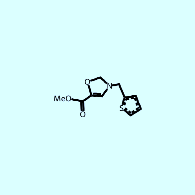 COC(=O)C1=[C]N(Cc2cccs2)CO1